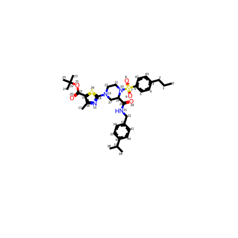 CCCc1ccc(S(=O)(=O)N2CCN(c3nc(C)c(C(=O)OC(C)(C)C)s3)CC2C(=O)NCc2ccc(C(C)C)cc2)cc1